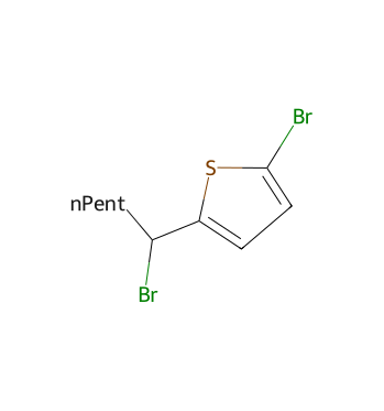 CCCCCC(Br)c1ccc(Br)s1